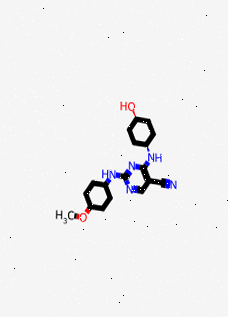 COC1CCC(Nc2ncc(C#N)c(N[C@H]3CC[C@@H](O)CC3)n2)CC1